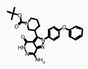 CC(C)(C)OC(=O)N1CCCC(c2c3c(=O)[nH]nc(N)c3nn2-c2ccc(Oc3ccccc3)cc2)C1